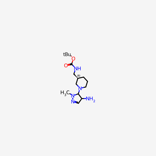 CN1N=CC(N)C1N1CCC[C@H](CNC(=O)OC(C)(C)C)C1